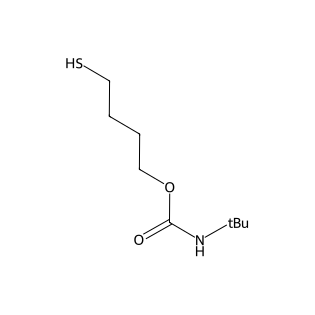 CC(C)(C)NC(=O)OCCCCS